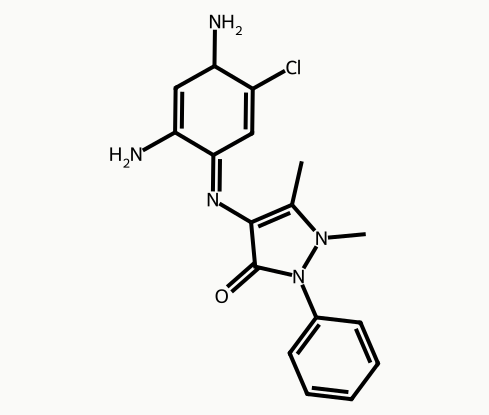 Cc1c(/N=C2\C=C(Cl)C(N)C=C2N)c(=O)n(-c2ccccc2)n1C